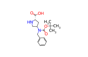 CC(C)(C)OC(=O)N(Cc1ccccc1)C1CN[C@H](C(=O)O)C1